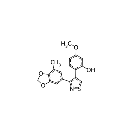 COc1ccc(-c2csnc2-c2cc(C)c3c(c2)OCO3)c(O)c1